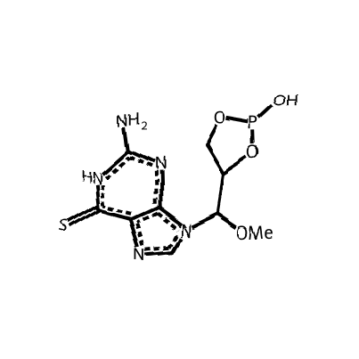 COC(C1COP(O)O1)n1cnc2c(=S)[nH]c(N)nc21